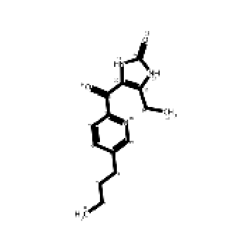 CCCCc1ccc(C(=O)c2[nH]c(=O)[nH]c2CC)nc1